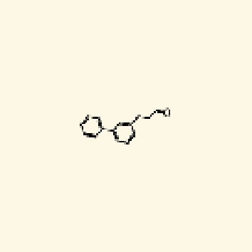 O=CCCc1cccc(-c2ccccc2)c1